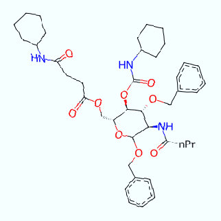 CCCC(=O)N[C@H]1C(OCc2ccccc2)O[C@H](COC(=O)CCC(=O)NC2CCCCC2)[C@@H](OC(=O)NC2CCCCC2)[C@@H]1OCc1ccccc1